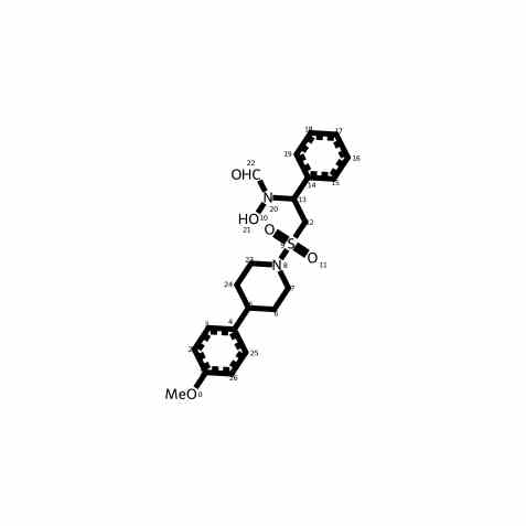 COc1ccc(C2CCN(S(=O)(=O)CC(c3ccccc3)N(O)C=O)CC2)cc1